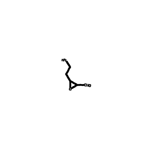 CCCCCC1OC1C=O